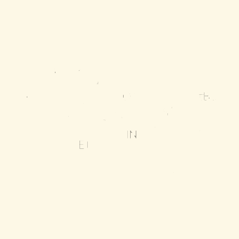 CCC(C(=O)Nc1sc(C(C)(C)C)c(C)c1C)c1cccc(C)c1